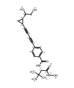 CC(C)(N)[C@H](NC(=O)c1ccc(C#CC#CC2C[C@H]2C(O)CO)cc1)C(=O)NO